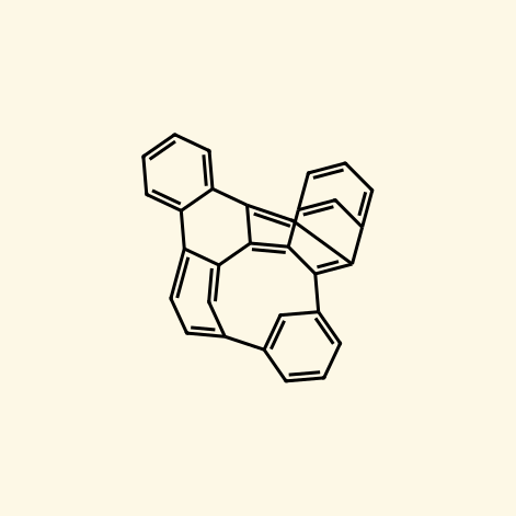 c1cc2cc(c1)c1c3cc4c5ccccc5c5ccc2cc5c4c1c1cccc3c1